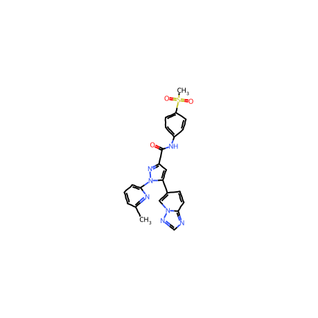 Cc1cccc(-n2nc(C(=O)Nc3ccc(S(C)(=O)=O)cc3)cc2-c2ccc3ncnn3c2)n1